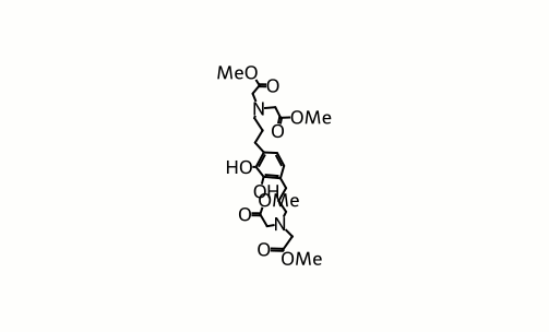 COC(=O)CN(CCCc1ccc(CCCN(CC(=O)OC)CC(=O)OC)c(O)c1O)CC(=O)OC